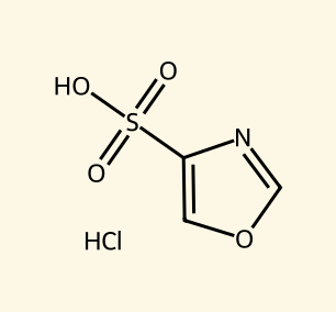 Cl.O=S(=O)(O)c1cocn1